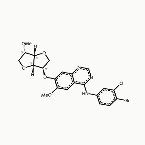 COc1cc2c(Nc3ccc(Br)c(Cl)c3)ncnc2cc1O[C@@H]1CO[C@@H]2[C@H]1OC[C@@H]2OC